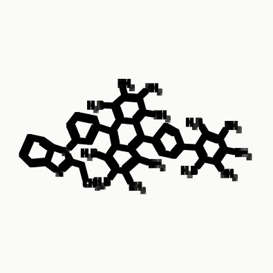 Bc1c(B)c(B)c(-c2ccc(-c3c4c(B)c(B)c(B)c(B)c4c(-c4cccc(-n5c(CC)nc6ccccc65)c4)c4c(B)c(B)c(B)c(B)c34)cc2)c(B)c1B